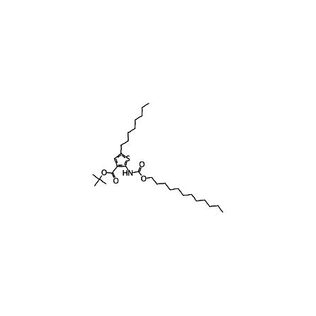 CCCCCCCCCCCCOC(=O)Nc1sc(CCCCCCCC)cc1C(=O)OC(C)(C)C